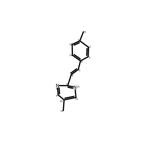 Cc1ccc(C=Cc2ncc(C)cn2)cc1